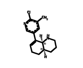 Cc1cc(C2=CCC[C@@H]3CCCN[C@H]23)cnc1Cl